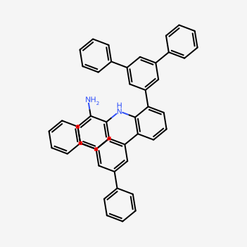 Nc1ccccc1Nc1c(-c2cc(-c3ccccc3)cc(-c3ccccc3)c2)cccc1-c1cc(-c2ccccc2)cc(-c2ccccc2)c1